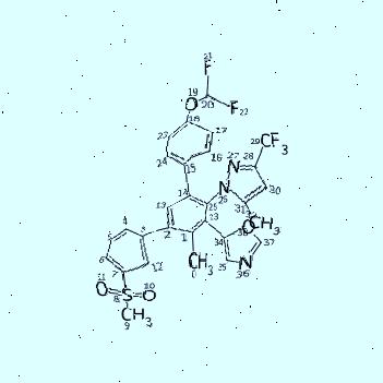 Cc1c(-c2cccc(S(C)(=O)=O)c2)cc(-c2ccc(OC(F)F)cc2)c(-n2nc(C(F)(F)F)cc2C)c1-c1cnco1